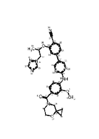 COc1cc(C(=O)N2CCOC3(CC3)C2)ccc1Nc1ncc(-c2ccc(C#N)c(OC(C)Cn3cncn3)c2)cn1